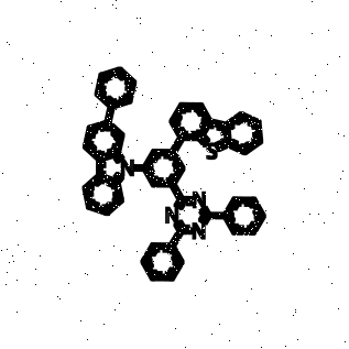 c1ccc(-c2ccc3c4ccccc4n(-c4cc(-c5nc(-c6ccccc6)nc(-c6ccccc6)n5)cc(-c5cccc6c5sc5ccccc56)c4)c3c2)cc1